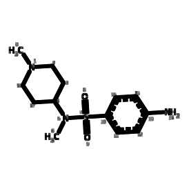 CN1CCC(N(C)S(=O)(=O)c2ccc(N)cc2)CC1